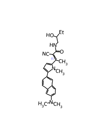 CCC(O)CNC(=O)/C(C#N)=C(\C)c1ccc(-c2ccc3cc(N(C)C)ccc3c2)n1C